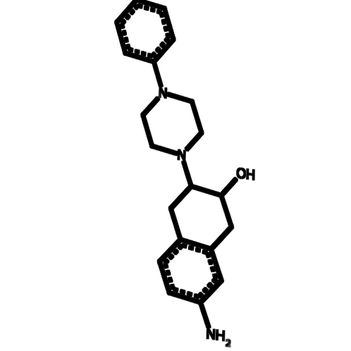 Nc1ccc2c(c1)CC(O)C(N1CCN(c3ccccc3)CC1)C2